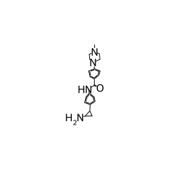 CN1CCN(c2ccc(C(=O)Nc3ccc(C4CC4N)cc3)cc2)CC1